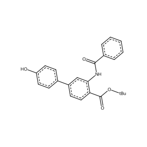 CC(C)(C)OC(=O)c1ccc(-c2ccc(O)cc2)cc1NC(=O)c1ccccc1